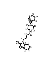 O=c1oc2ccccc2n1CCCCN1CCN(c2ccccn2)CC1